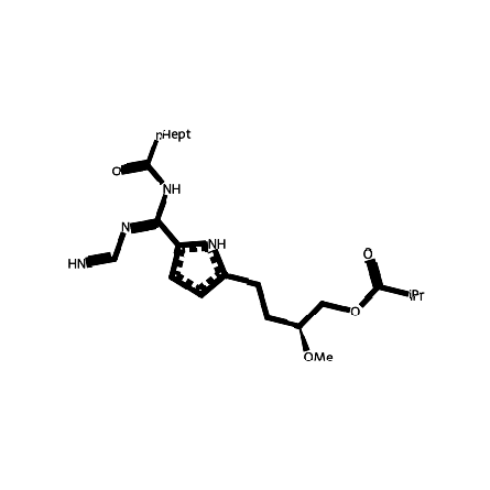 CCCCCCCC(=O)N/C(=N/C=N)c1ccc(CC[C@@H](COC(=O)C(C)C)OC)[nH]1